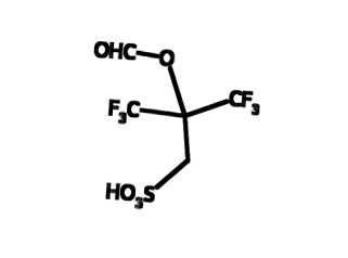 O=COC(CS(=O)(=O)O)(C(F)(F)F)C(F)(F)F